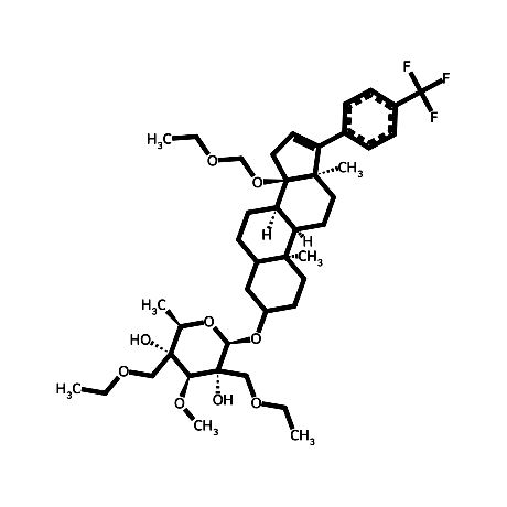 CCOCO[C@@]12CC=C(c3ccc(C(F)(F)F)cc3)[C@@]1(C)CC[C@@H]1[C@H]2CCC2CC(O[C@@H]3O[C@H](C)[C@](O)(COCC)[C@H](OC)[C@]3(O)COCC)CC[C@@]21C